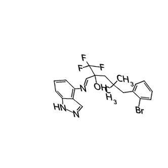 CC(C)(Cc1ccccc1Br)CC(O)(C=Nc1cccc2[nH]ncc12)C(F)(F)F